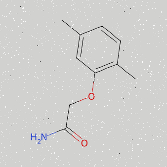 Cc1ccc(C)c(OCC(N)=O)c1